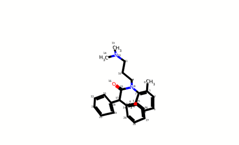 Cc1cccc(C)c1N(CCCN(C)C)C(=O)C(c1ccccc1)c1ccccc1